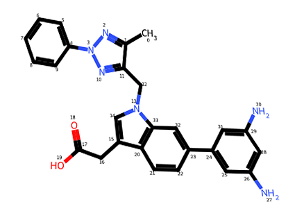 Cc1nn(-c2ccccc2)nc1Cn1cc(CC(=O)O)c2ccc(-c3cc(N)cc(N)c3)cc21